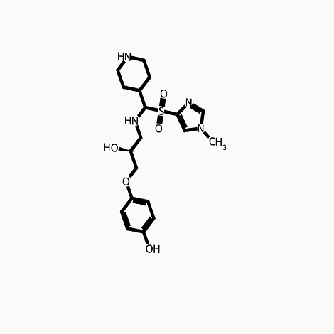 Cn1cnc(S(=O)(=O)C(NC[C@H](O)COc2ccc(O)cc2)C2CCNCC2)c1